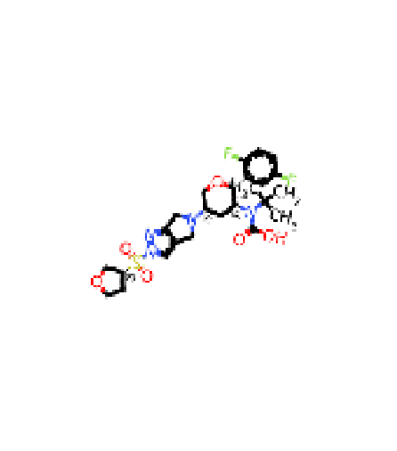 CC(C)(C)N(C(=O)O)[C@H]1C[C@@H](N2Cc3cn(S(=O)(=O)[C@@H]4CCOC4)nc3C2)CO[C@@H]1c1cc(F)ccc1F